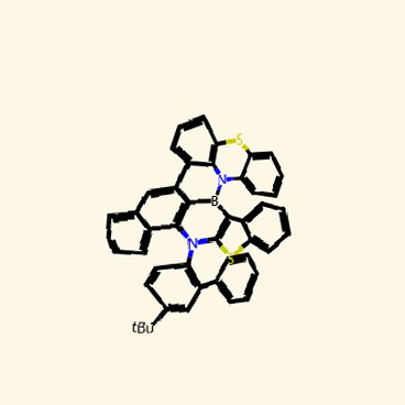 CC(C)(C)c1ccc(N2c3sc4ccccc4c3B3c4c(cc5ccccc5c42)-c2cccc4c2N3c2ccccc2S4)c(-c2ccccc2)c1